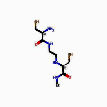 [CH2]CNC(=O)[C@@H](CS)NCCNC(=O)[C@H](N)CS